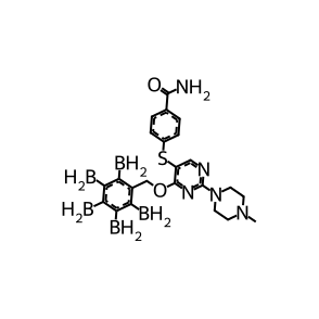 Bc1c(B)c(B)c(COc2nc(N3CCN(C)CC3)ncc2Sc2ccc(C(N)=O)cc2)c(B)c1B